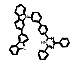 c1ccc(C2=NC(c3ccc(-c4cccc(-n5c6ccccc6c6ccc(-c7ccc8oc9ccccc9c8c7)cc65)c4)cc3)NC(c3ccccc3)=N2)cc1